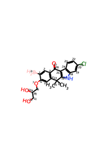 Bc1cc2c(cc1OC[C@H](O)CO)C(C)(C)c1[nH]c3cc(Cl)ccc3c1C2=O